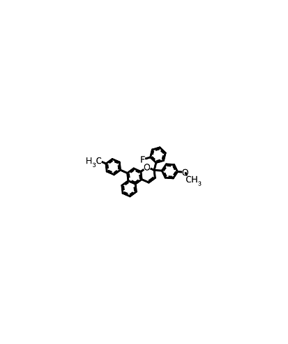 COc1ccc(C2(c3ccccc3F)C=Cc3c(cc(-c4ccc(C)cc4)c4ccccc34)O2)cc1